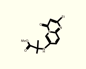 CCc1cc(=O)n2cc(NC(C)(C)C(=O)OC)ccc2n1